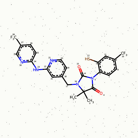 CC1(C)C(=O)N(c2ccc(C(F)(F)F)cc2S)C(=O)N1Cc1ccnc(Nc2ccc(C(F)(F)F)cn2)c1